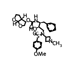 COc1ccc([S+]([O-])N(C[C@@H](O)[C@H](Cc2ccccc2)NC(=O)O[C@@H]2CO[C@@H]3OCC[C@@H]32)C2CN(C)C2)cc1